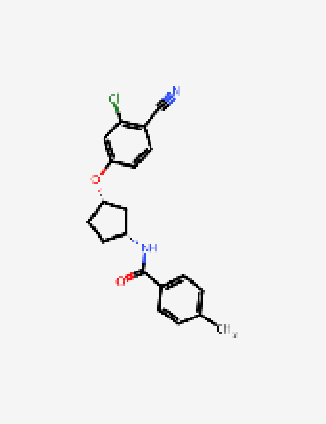 Cc1ccc(C(=O)N[C@@H]2CC[C@H](Oc3ccc(C#N)c(Cl)c3)C2)cc1